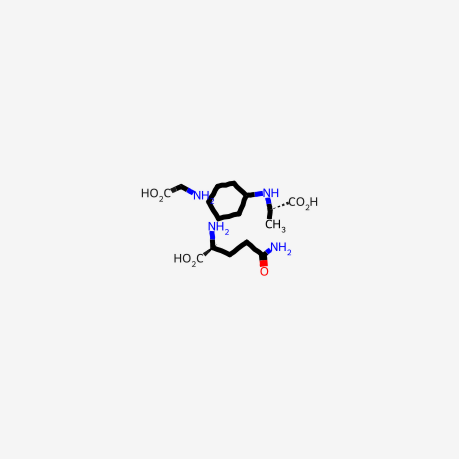 C[C@H](NC1CCCCC1)C(=O)O.NC(=O)CC[C@H](N)C(=O)O.NCC(=O)O